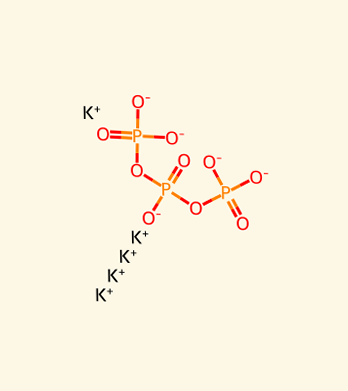 O=P([O-])([O-])OP(=O)([O-])OP(=O)([O-])[O-].[K+].[K+].[K+].[K+].[K+]